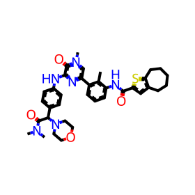 Cc1c(NC(=O)c2cc3c(s2)CCCCC3)cccc1-c1cn(C)c(=O)c(Nc2ccc(C(C(=O)N(C)C)N3CCOCC3)cc2)n1